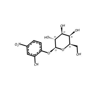 N#Cc1cc([N+](=O)[O-])ccc1O[C@@H]1O[C@H](CO)[C@H](O)[C@H](O)[C@H]1O